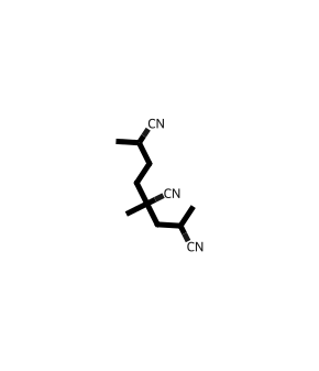 CC(C#N)CCC(C)(C#N)CC(C)C#N